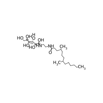 CCCCCCC(C)CCCC(C)CCC(=O)NCCN[C@H](O)[C@H](O)[C@@H](O)[C@H](O)[C@H](O)CO